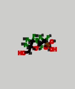 O=S(=O)(O)C(F)(F)C(F)(F)OC(F)(CO)C(F)(F)F